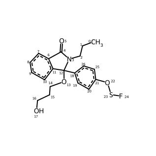 CCCN1C(=O)c2ccccc2C1(OCCCO)c1ccc(OSF)cc1